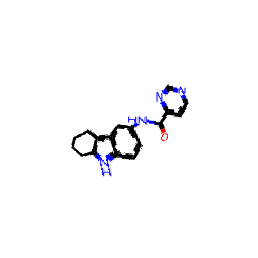 O=C(Nc1ccc2[nH]c3c(c2c1)CCCC3)c1ccncn1